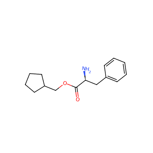 N[C@@H](Cc1ccccc1)C(=O)OCC1CCCC1